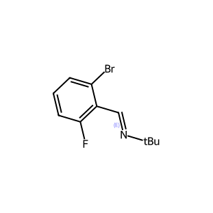 CC(C)(C)/N=C/c1c(F)cccc1Br